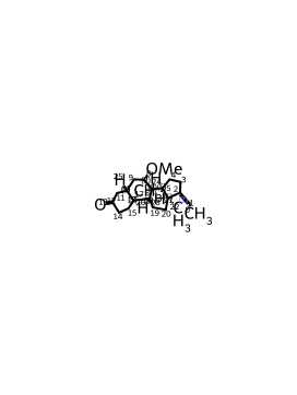 C/C=C1/CC[C@H]2[C@@H]3[C@H](OC)C[C@H]4CC(=O)CC[C@]4(C)[C@H]3CC[C@]12C